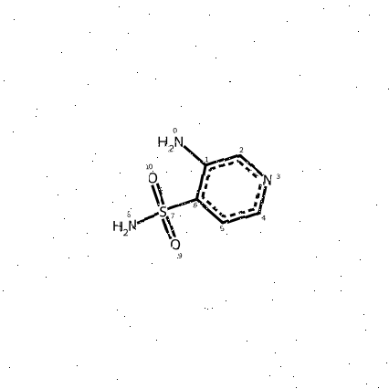 Nc1cnccc1S(N)(=O)=O